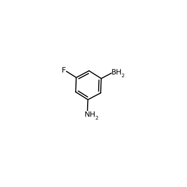 Bc1cc(N)cc(F)c1